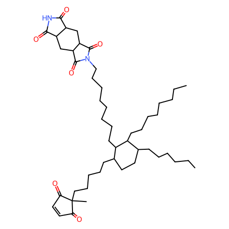 CCCCCCCCC1C(CCCCCC)CCC(CCCCCC2(C)C(=O)C=CC2=O)C1CCCCCCCCN1C(=O)C2CC3C(=O)NC(=O)C3CC2C1=O